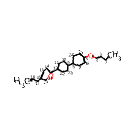 CCCCOC1CCC(C2CCC(C3CC=C(CCC)CO3)CC2)CC1